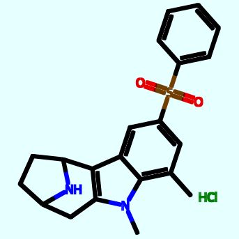 Cc1cc(S(=O)(=O)c2ccccc2)cc2c3c(n(C)c12)CC1CCC3N1.Cl